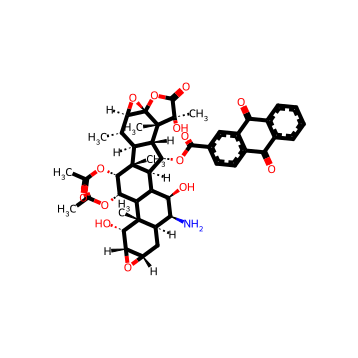 CC(=O)O[C@H]1C2C([C@@H](O)[C@@H](N)[C@H]3C[C@@H]4O[C@@H]4[C@H](O)[C@]23C)[C@@H]2[C@@H](OC(=O)c3ccc4c(c3)C(=O)c3ccccc3C4=O)[C@@H]3[C@H]([C@H](C)[C@H]4O[C@]45OC(=O)[C@@](C)(O)[C@]35C)[C@@]2(C)[C@H]1OC(C)=O